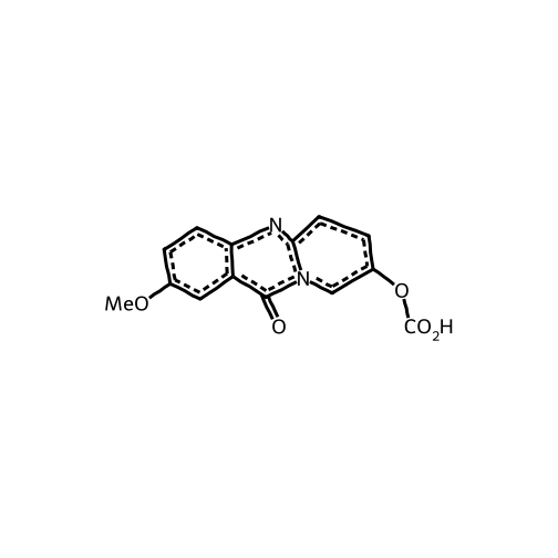 COc1ccc2nc3ccc(OC(=O)O)cn3c(=O)c2c1